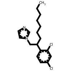 CCCCCCCC(Cn1ccnc1)c1ccc(Cl)cc1Cl